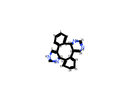 c1ccc2c(c1)-c1cncnc1-c1ccccc1-c1cncnc1-2